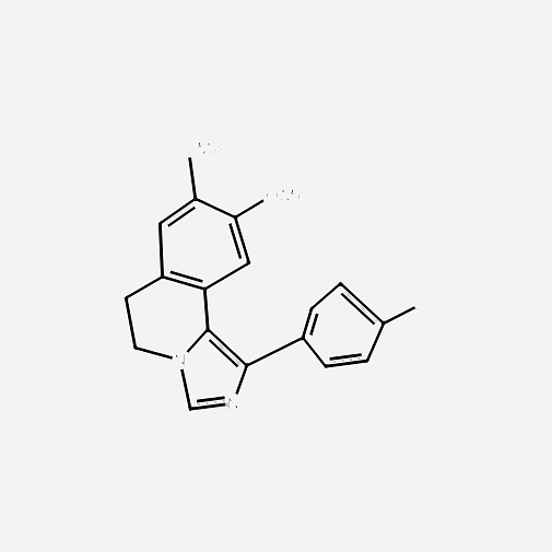 COc1cc2c(cc1OC)-c1c(-c3ccc(F)cc3)ncn1CC2